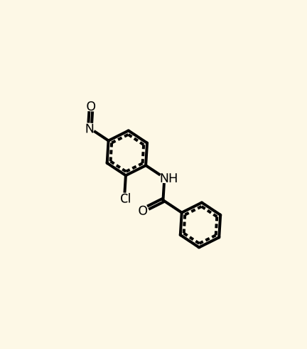 O=Nc1ccc(NC(=O)c2ccccc2)c(Cl)c1